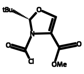 COC(=O)C1=CO[C@@H](C(C)(C)C)N1C(=O)Cl